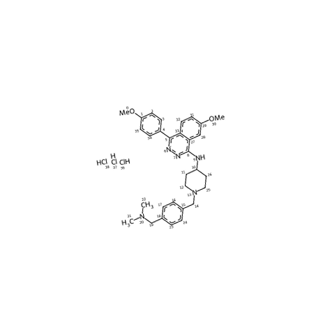 COc1ccc(-c2nnc(NC3CCN(Cc4ccc(CN(C)C)cc4)CC3)c3cc(OC)ccc23)cc1.Cl.Cl.Cl